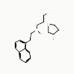 COCCCN(CCc1cccc2ccccc12)C[C@@H]1NCC[C@@H]1S